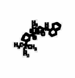 CC(CC(=O)NC1CCCc2ccccc21)NS(=O)(=O)c1cccc(C(C)(C)C)c1